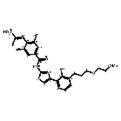 COCCOCCCc1cccc(-c2csc(NC(=O)c3cc(Cl)c(C=C(C)C(=O)O)c(Cl)c3)n2)c1F